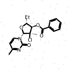 CC[C@H]1O[C@@H](n2ccc(C)nc2=O)[C@](C)(Cl)[C@@H]1OC(=O)c1ccccc1